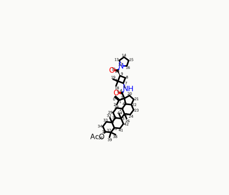 C=C(C)C1(C(=O)N[C@@H]2C[C@H](C(=O)N3CCCC3)C2(C)C)CCC2CCC3(C)C(CCC4C5(C)CCC(OC(C)=O)C(C)(C)C5CCC43C)C21